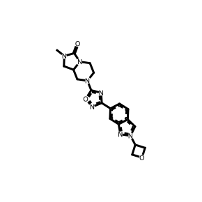 CN1CC2CN(c3nc(-c4ccc5cn(C6COC6)nc5c4)no3)CCN2C1=O